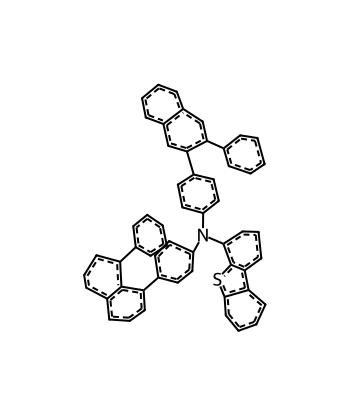 c1ccc(-c2cc3ccccc3cc2-c2ccc(N(c3ccc(-c4cccc5cccc(-c6ccccc6)c45)cc3)c3cccc4c3sc3ccccc34)cc2)cc1